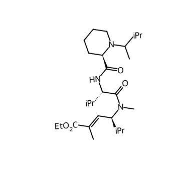 CCOC(=O)/C(C)=C/[C@H](C(C)C)N(C)C(=O)[C@@H](NC(=O)[C@H]1CCCCN1C(C)C(C)C)C(C)C